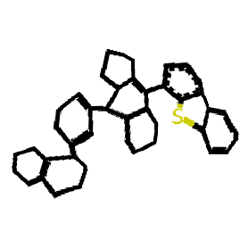 C1=CC2Sc3c(C4=C5CCCCC5C(C5=CCCC(C6CCCC7=C6CCCC7)=C5)C5CCCCC45)cccc3C2C=C1